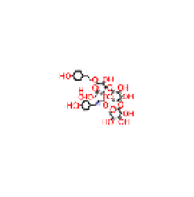 C[C@@H]1O[C@@H](O[C@@H]2[C@@H](O)[C@@H](O)[C@H](O[C@@H]3[C@@H](O)[C@H](OCCc4ccc(O)cc4)O[C@H](CO)[C@H]3OC(=O)/C=C/c3ccc(O)c(O)c3)O[C@H]2C)[C@H](O)[C@H](O)[C@H]1O